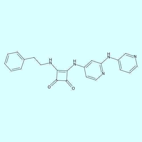 O=c1c(NCCc2ccccc2)c(Nc2ccnc(Nc3cccnc3)c2)c1=O